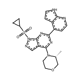 C[C@@H]1COCCN1c1nc(-c2ccnc3[nH]ccc23)nc2c1cnn2S(=O)(=O)C1CC1